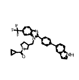 O=C(C1CC1)N1CCC(Cn2c(-c3ccc(-c4ccc5[nH]ccc5c4)cc3)nc3ccc(C(F)(F)F)cc32)C1